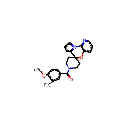 CCCOc1ccc(C(=O)N2CCC3(CC2)Oc2cccnc2-n2cccc23)cc1C(F)(F)F